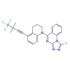 CC(C)(C#Cc1cccc2c1CCCN2c1nc2nnc(F)n2c2ccccc12)C(F)(F)F